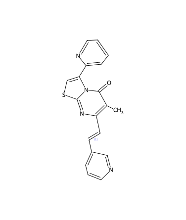 Cc1c(/C=C/c2cccnc2)nc2scc(-c3ccccn3)n2c1=O